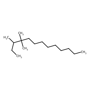 C[CH]C(C)C(C)(C)CCCCCCCCC